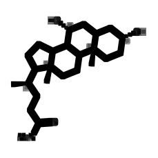 CNC(=O)CC[C@@H](C)C1CCC2C3C(CC[C@@]21C)[C@@]1(C)CC[C@@H](O)CC1C[C@H]3O